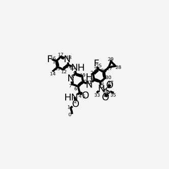 CCONC(=O)c1cnc(Nc2cc(C)c(F)cn2)cc1Nc1cc(F)c(C2CC2)cc1N(C)S(C)(=O)=O